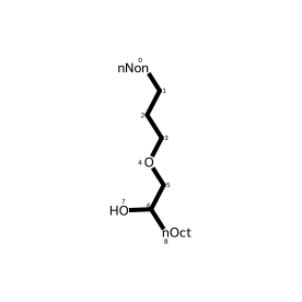 CCCCCCCCCCCCOCC(O)CCCCCCCC